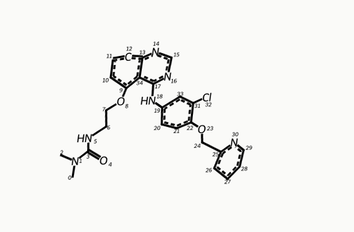 CN(C)C(=O)NCCOc1cccc2ncnc(Nc3ccc(OCc4ccccn4)c(Cl)c3)c12